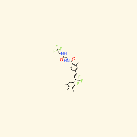 Cc1cc(/C=C/C(c2cc(C)c(C)c(C)c2)C(F)(F)F)ccc1C(=O)NCC(=O)NCC(F)(F)F